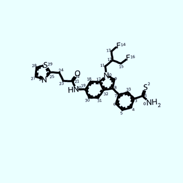 NC(=S)c1cccc(-c2cn(CC(CF)CF)c3cc(NC(=O)CCc4nccs4)ccc23)c1